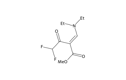 CCN(C=C(C(=O)OC)C(=O)C(F)F)CC